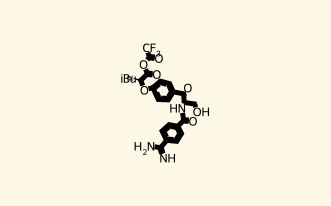 CC[C@H](C)C(Oc1ccc(C(=O)C(CO)NC(=O)c2ccc(C(=N)N)cc2)cc1)C(=O)OC(=O)C(F)(F)F